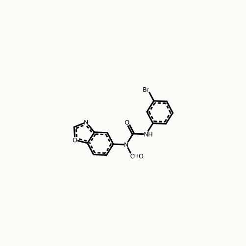 O=CN(C(=O)Nc1cccc(Br)c1)c1ccc2ocnc2c1